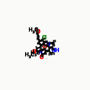 COCCCc1cc(CCCOC)c(Cl)c(CN(C(=O)C2CNCCC2c2ccn(C)c(=O)c2)C2CC2)c1